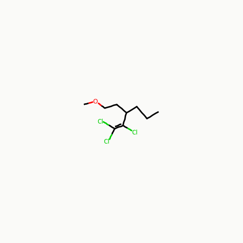 CCCC(CCOC)C(Cl)=C(Cl)Cl